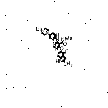 CCN1CCN(c2ccc(Nc3ncnc(Oc4ccc5[nH]c(C)cc5c4F)c3C(=O)NC)nc2)CC1